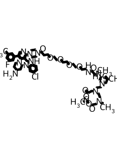 C=C(C)CN(CCN(C)CC(=O)NCCOCCOCCOCCOCCC(=O)N1CCN(c2ncc(-c3cc(C)cc(F)c3)c(N3CCC(N)CC3)c2-c2nc3cc(Cl)ccc3[nH]2)CC1)CCN1CCN(CC)CC(=O)ON(C)OC(=O)C1